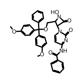 COc1ccc(C(OCC2C(n3ccc(NC(=O)c4ccccc4)nc3=O)C(=O)N2O)(c2ccccc2)c2ccc(OC)cc2)cc1